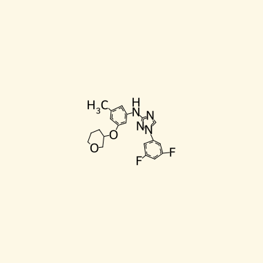 Cc1cc(Nc2ncn(-c3cc(F)cc(F)c3)n2)cc(OC2CCCOC2)c1